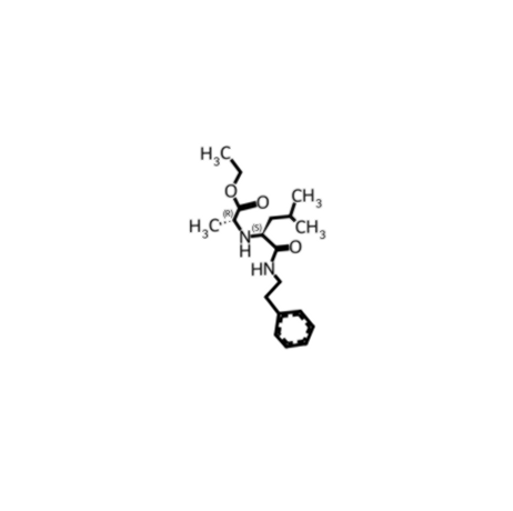 CCOC(=O)[C@@H](C)N[C@@H](CC(C)C)C(=O)NCCc1ccccc1